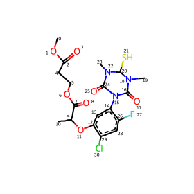 COC(=O)CCOC(=O)C(C)Oc1cc(N2C(=O)N(C)C(S)N(C)C2=O)c(F)cc1Cl